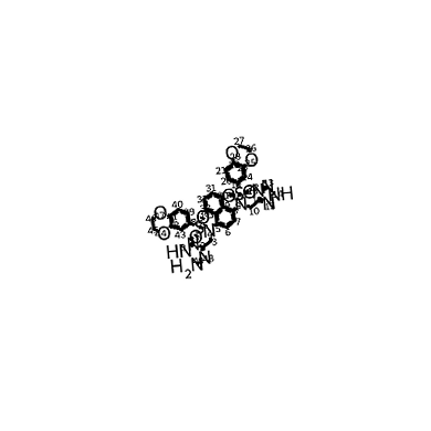 N=N/C(CN(c1ccc(N(Cc2nn[nH]n2)S(=O)(=O)c2ccc3c(c2)OCCO3)c2ccccc12)S(=O)(=O)c1ccc2c(c1)OCCO2)=N\N